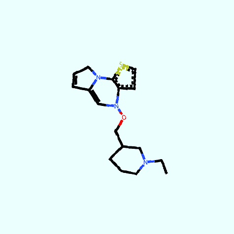 CCN1CCCC(CON2C=C3C=CCN3c3sccc32)C1